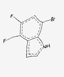 Fc1cc(Br)c2[nH]ccc2c1F